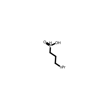 CCC[CH]CC[PH](=O)O